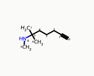 [C]#CCCCC(C)(C)NC